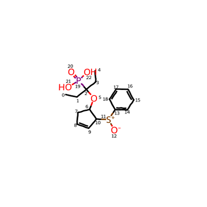 CCC(CC)(OC1CC=CC1[S+]([O-])c1ccccc1)P(=O)(O)O